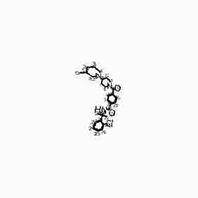 CC1CCCN(C2CCN(C(=O)c3ccc(C(=O)NC(C)(C)c4ccccc4Cl)cc3)CC2)C1